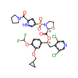 O=C(O[C@@H](Cc1c(Cl)cncc1Cl)c1ccc(OC(F)F)c(OCC2CC2)c1)[C@@H]1SCCN1S(=O)(=O)c1c[nH]c(C(=O)N2CCCC2)c1